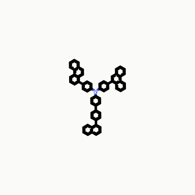 c1ccc2c(-c3ccc(-c4ccc(N(c5ccc(-c6cccc7c6ccc6ccccc67)cc5)c5ccc(-c6cc7ccccc7c7ccccc67)cc5)cc4)cc3)cccc2c1